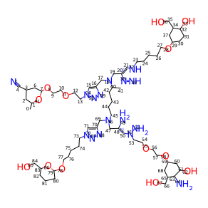 CC1CC(C#N)CC(OCCOCCn2cc(CN(C/C(=C/NCCCCCOC3CCC(O)C(CO)C3)N=N)C(C)CCCCN(C/C(N)=C/N(N)CCOCCOC3CC(O)C(N)C(CO)C3)Cc3cn(CCCCCOC4CCCC(CO)O4)nn3)nn2)O1